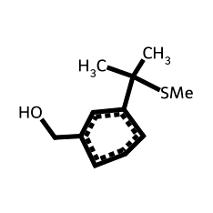 CSC(C)(C)c1cccc(CO)c1